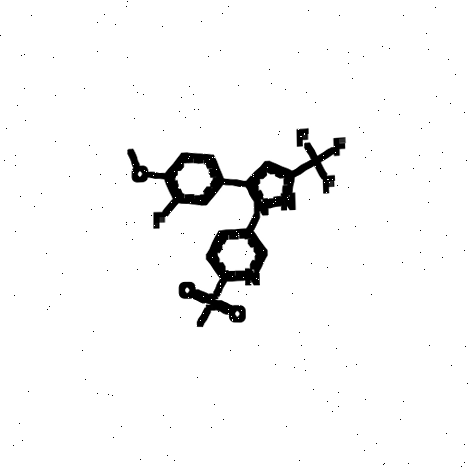 COc1ccc(-c2cc(C(F)(F)F)nn2-c2ccc(S(C)(=O)=O)nc2)cc1F